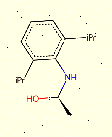 CC(C)c1cccc(C(C)C)c1N[C@@H](C)O